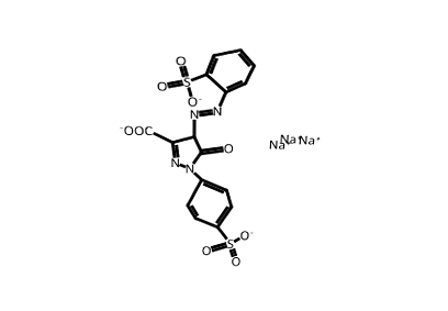 O=C([O-])C1=NN(c2ccc(S(=O)(=O)[O-])cc2)C(=O)C1N=Nc1ccccc1S(=O)(=O)[O-].[Na+].[Na+].[Na+]